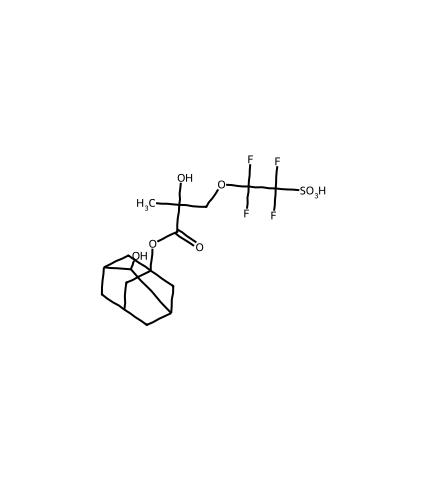 CC(O)(COC(F)(F)C(F)(F)S(=O)(=O)O)C(=O)OC12CC3CC(C1)C(O)C(C3)C2